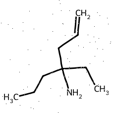 C=CCC(N)(CC)CCC